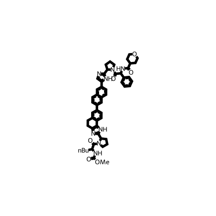 CCCCC(NC(=O)OC)C(=O)N1CCCC1c1nc2c([nH]1)-c1ccc(-c3ccc4cc(-c5cnc(C6CCCN6C(=O)C(NC(=O)C6CCOCC6)c6ccccc6)[nH]5)ccc4c3)cc1CC2